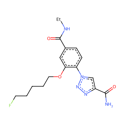 CCNC(=O)c1ccc(-n2cc(C(N)=O)nn2)c(OCCCCCF)c1